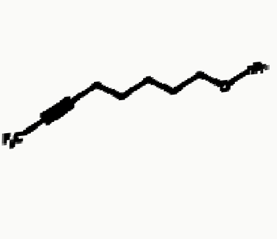 CC[CH]OCCCCCC#CC(F)(F)F